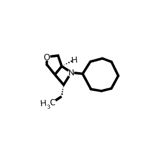 CC[C@@H]1C2COC[C@H]2N1C1CCCCCCC1